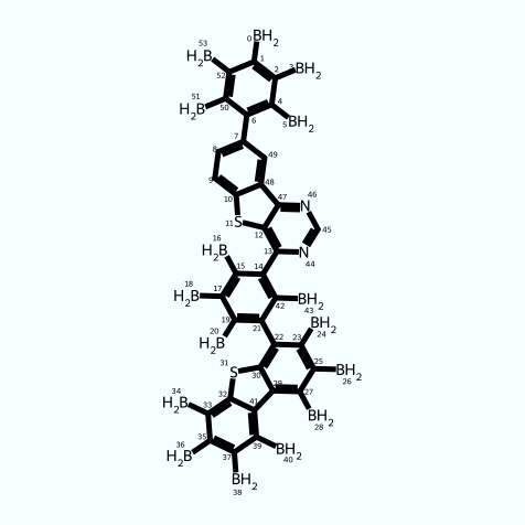 Bc1c(B)c(B)c(-c2ccc3sc4c(-c5c(B)c(B)c(B)c(-c6c(B)c(B)c(B)c7c6sc6c(B)c(B)c(B)c(B)c67)c5B)ncnc4c3c2)c(B)c1B